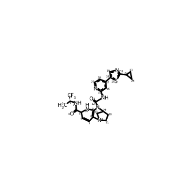 C[C@@H](NC(=O)C1C=CC2=C(N1)N(C(=O)Nc1cc(-c3cnc(C4CC4)s3)ccn1)C1CCN2C1)C(F)(F)F